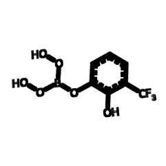 OOB(OO)Oc1cccc(C(F)(F)F)c1O